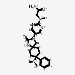 CN(CC(N)=O)c1ncc(N2CC3(CCC(c4ccccc4)(N(C)C)CC3)NC2=O)cn1